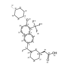 CC(c1ccc2c(C(F)(F)F)c(O[C@H]3CC[C@@H](C)CC3)ccc2c1)N1CCC[C@H](CC(=O)O)C1